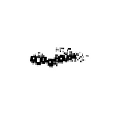 CCN1c2ccccc2CCc2cc(-c3ccc4sc5c6cc(/C=c7/s/c(=C(\C#N)C(=O)O)n(CC(=O)O)c7=O)ccc6sc5c4c3)ccc21